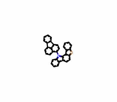 c1ccc2c(c1)-c1cccc3c(-n4c5ccccc5c5ccc6sc7ccccc7c6c54)ccc-2c13